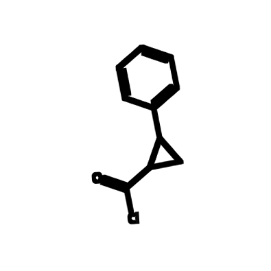 O=C(Cl)C1CC1c1ccccc1